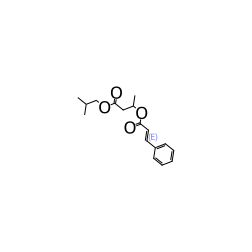 CC(C)COC(=O)CC(C)OC(=O)/C=C/c1ccccc1